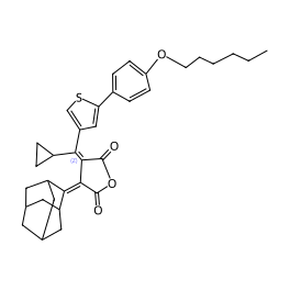 CCCCCCOc1ccc(-c2cc(/C(=C3\C(=O)OC(=O)C3=C3C4CC5CC(C4)CC3C5)C3CC3)cs2)cc1